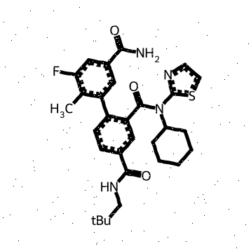 Cc1c(F)cc(C(N)=O)cc1-c1ccc(C(=O)NCC(C)(C)C)cc1C(=O)N(c1nccs1)C1CCCCC1